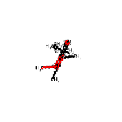 CC#Cc1c2c(c(C#Cc3cc(C)c(C)cc3C)c3cc4c(cc13)C1c3cc5c(cc3C4c3cc4c(cc31)C1c3ccc(OCCCCCCCC)cc3C4c3ccc(OCCCCCCCC)cc31)C1c3ccc(OCCCCCCCC)cc3C5c3ccc(OCCCCCCCC)cc31)=CC1C3c4ccccc4C(c4ccccc43)C1C=2